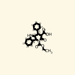 CCOC(=O)n1c(=O)c(C(=O)O)c(-c2ccccc2)c2[nH]c3ccccc3c21